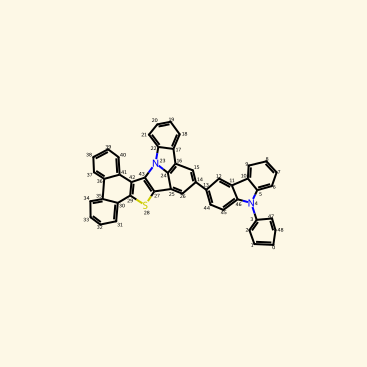 c1ccc(-n2c3ccccc3c3cc(-c4cc5c6ccccc6n6c5c(c4)c4sc5c7ccccc7c7ccccc7c5c46)ccc32)cc1